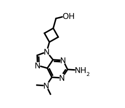 CN(C)c1nc(N)nc2c1ncn2C1CC(CO)C1